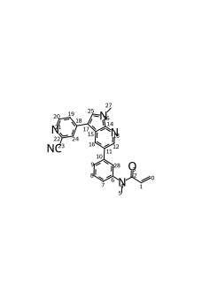 C=CC(=O)N(C)c1cccc(-c2cnc3c(c2)c(-c2ccnc(C#N)c2)cn3C)c1